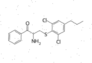 CCCc1cc(Cl)c(SC[C](N)C(=O)c2ccccc2)c(Cl)c1